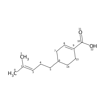 CC(C)=CCCC1CC=C(C(=O)O)CC1